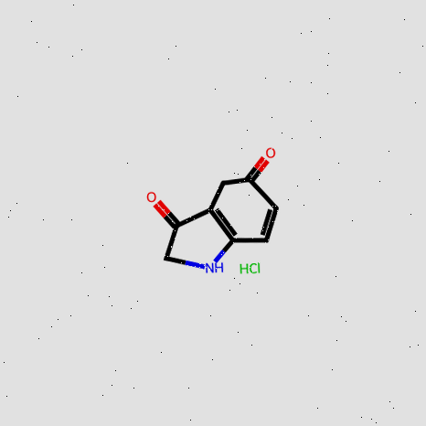 Cl.O=C1C=CC2=C(C1)C(=O)CN2